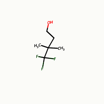 CC(C)(CCO)C(F)(F)F